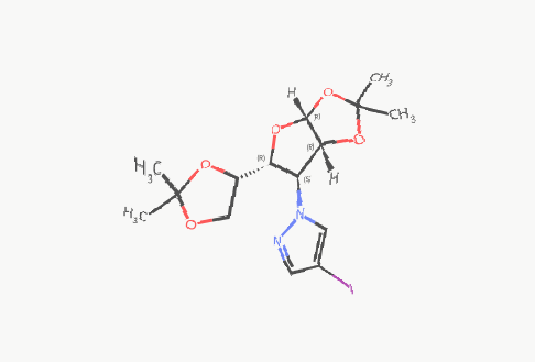 CC1(C)OCC([C@@H]2O[C@@H]3OC(C)(C)O[C@@H]3[C@H]2n2cc(I)cn2)O1